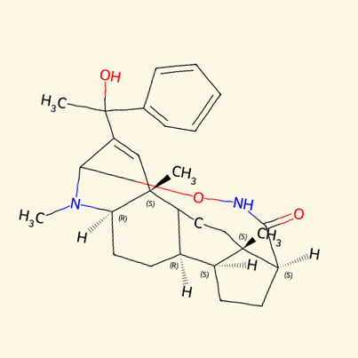 CN1C2ONC(=O)[C@H]3CC[C@H]4[C@H]5CC[C@@H]1[C@](C)(C=C2C(C)(O)c1ccccc1)C5CC[C@]34C